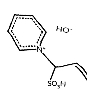 C=CC([n+]1ccccc1)S(=O)(=O)O.[OH-]